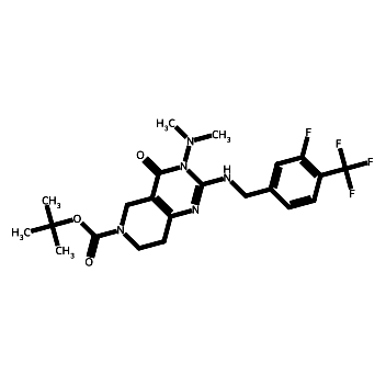 CN(C)n1c(NCc2ccc(C(F)(F)F)c(F)c2)nc2c(c1=O)CN(C(=O)OC(C)(C)C)CC2